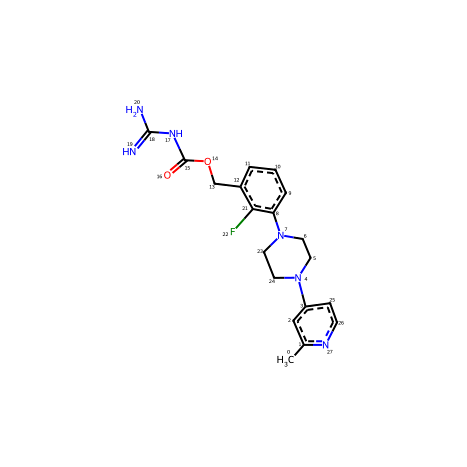 Cc1cc(N2CCN(c3cccc(COC(=O)NC(=N)N)c3F)CC2)ccn1